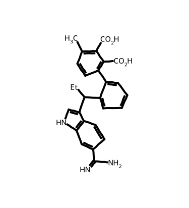 CCC(c1ccccc1-c1ccc(C)c(C(=O)O)c1C(=O)O)c1c[nH]c2cc(C(=N)N)ccc12